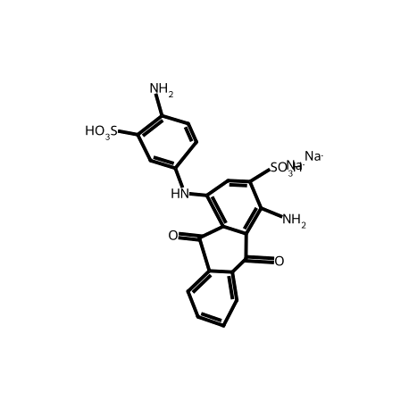 Nc1ccc(Nc2cc(S(=O)(=O)O)c(N)c3c2C(=O)c2ccccc2C3=O)cc1S(=O)(=O)O.[Na].[Na]